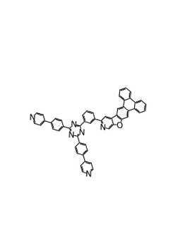 c1cc(-c2cc3c(cn2)oc2cc4c5ccccc5c5ccccc5c4cc23)cc(-c2nc(-c3ccc(-c4ccncc4)cc3)nc(-c3ccc(-c4ccncc4)cc3)n2)c1